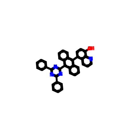 Oc1ccc(-c2c3ccccc3c(-c3nc(-c4ccccc4)nc(-c4ccccc4)n3)c3ccccc23)c2cccnc12